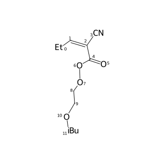 CCC=C(C#N)C(=O)OOCCOC(C)CC